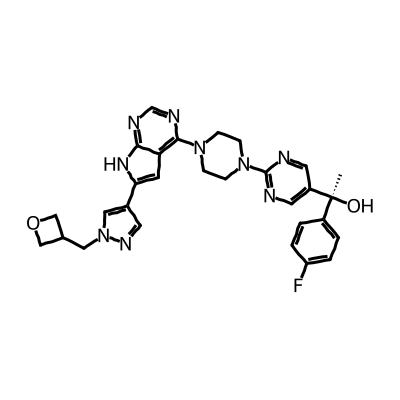 C[C@](O)(c1ccc(F)cc1)c1cnc(N2CCN(c3ncnc4[nH]c(-c5cnn(CC6COC6)c5)cc34)CC2)nc1